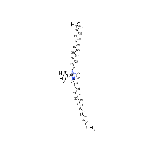 CCCCCCCCCCCCCCCCCCN1C=CN(CCCCCCCCCCCCCCCCC)C1C(C)C